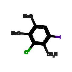 COc1cc(I)c(C(=O)O)c(Cl)c1OC